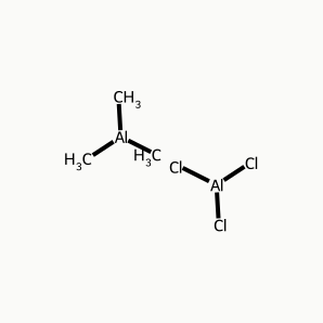 [CH3][Al]([CH3])[CH3].[Cl][Al]([Cl])[Cl]